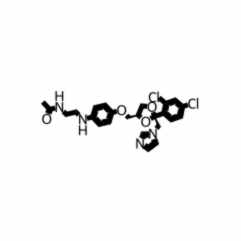 CC(=O)NCCNc1ccc(OC[C@H]2CO[C@](Cn3ccnc3)(c3ccc(Cl)cc3Cl)O2)cc1